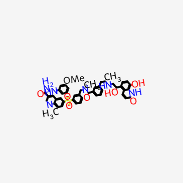 COc1cccc(Nc2c(C(N)=O)cnc3c(C)cc(S(=O)(=O)c4cccc(CN(C)C(=O)c5cccc(CC(C)NC[C@H](O)c6ccc(O)c7[nH]c(=O)ccc67)c5)c4)cc23)c1